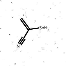 C=[C]([SnH3])C#N